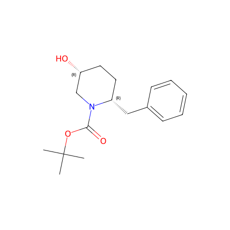 CC(C)(C)OC(=O)N1C[C@H](O)CC[C@@H]1Cc1ccccc1